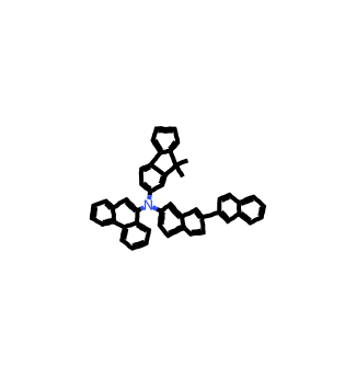 CC1(C)c2ccccc2-c2ccc(N(c3ccc4ccc(-c5ccc6ccccc6c5)cc4c3)c3cc4ccccc4c4ccccc34)cc21